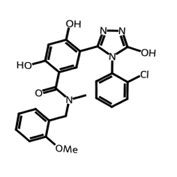 COc1ccccc1CN(C)C(=O)c1cc(-c2nnc(O)n2-c2ccccc2Cl)c(O)cc1O